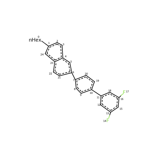 CCCCCCc1ccc2cc(-c3ccc(-c4cc(F)cc(F)c4)cc3)ccc2c1